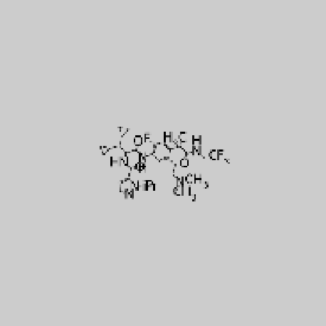 CC(C)n1nccc1C(=O)N[C@H](C(=O)Nc1cc(CCN(C)C)c([C@H](C)C(=O)NCC(F)(F)F)cc1F)C(C1CC1)C1CC1